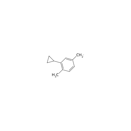 [CH2]c1ccc(C)c(C2CC2)c1